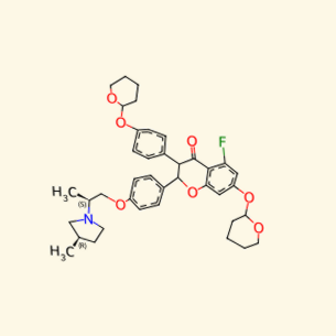 C[C@@H]1CCN([C@@H](C)COc2ccc(C3Oc4cc(OC5CCCCO5)cc(F)c4C(=O)C3c3ccc(OC4CCCCO4)cc3)cc2)C1